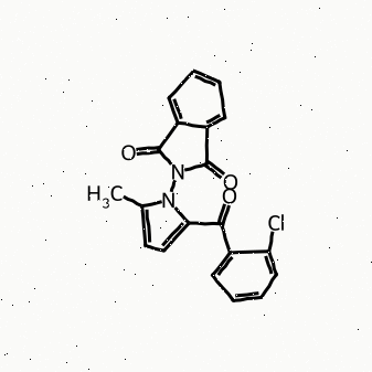 Cc1ccc(C(=O)c2ccccc2Cl)n1N1C(=O)c2ccccc2C1=O